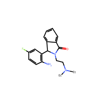 CCN(CC)CCN1C(=O)c2ccccc2C1c1cc(F)ccc1N